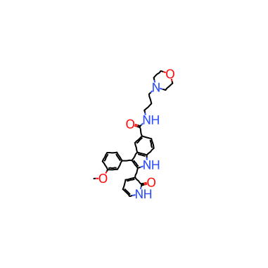 COc1cccc(-c2c(-c3ccc[nH]c3=O)[nH]c3ccc(C(=O)NCCCN4CCOCC4)cc23)c1